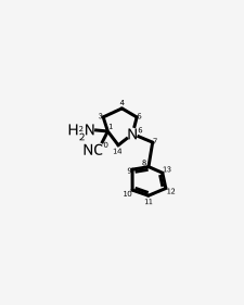 N#CC1(N)CCCN(Cc2ccccc2)C1